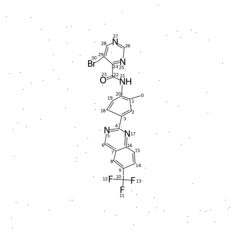 Cc1cc(-c2ncc3cc(C(F)(F)F)ccc3n2)ccc1NC(=O)c1ncncc1Br